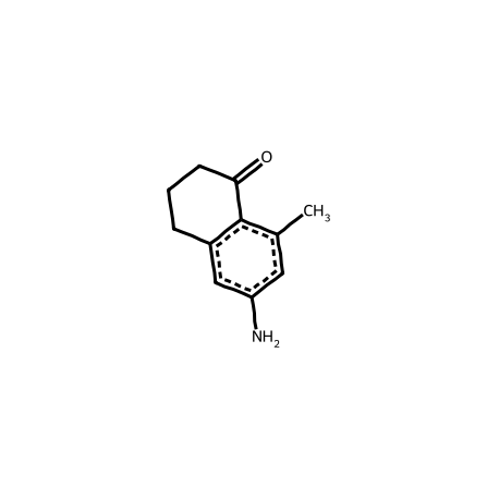 Cc1cc(N)cc2c1C(=O)CCC2